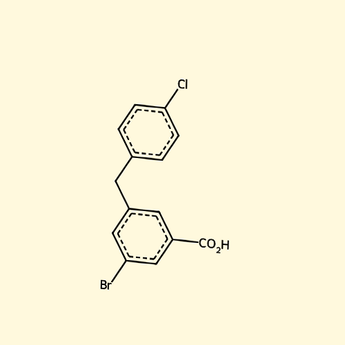 O=C(O)c1cc(Br)cc(Cc2ccc(Cl)cc2)c1